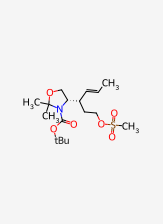 CC=CC(CCOS(C)(=O)=O)[C@H]1COC(C)(C)N1C(=O)OC(C)(C)C